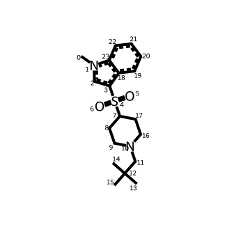 Cn1cc(S(=O)(=O)C2CCN(CC(C)(C)C)CC2)c2ccccc21